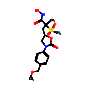 COCc1ccc(N2CC(CC(C)(C(=O)NO)S(C)(=O)=O)OC2=O)cc1